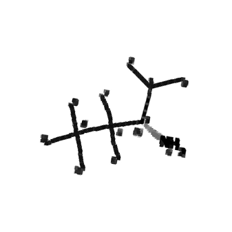 CC(C)[C@H](N)C(C)(C)C(C)(C)C